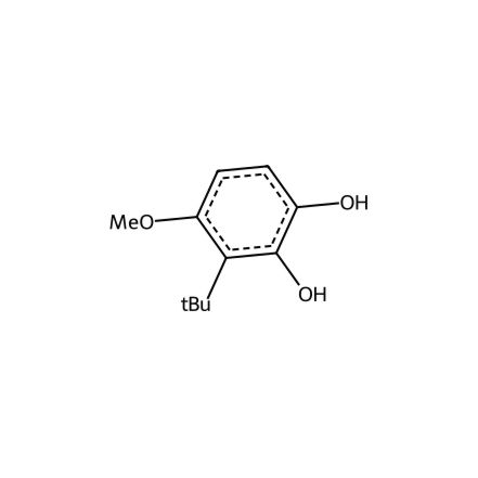 COc1ccc(O)c(O)c1C(C)(C)C